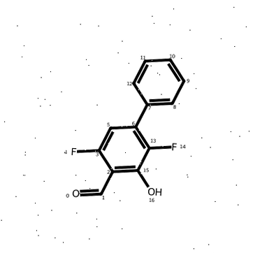 O=Cc1c(F)cc(-c2ccccc2)c(F)c1O